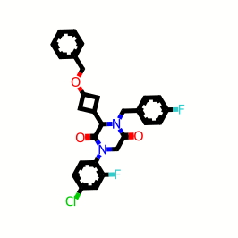 O=C1C(C2CC(OCc3ccccc3)C2)N(Cc2ccc(F)cc2)C(=O)CN1c1ccc(Cl)cc1F